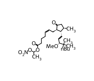 CCCCC(C)(C)[C@@H](/C=C/[C@H]1[C@H](C)CC(=O)[C@@H]1C/C=C\CCCC(=O)OC(C)O[N+](=O)[O-])OC